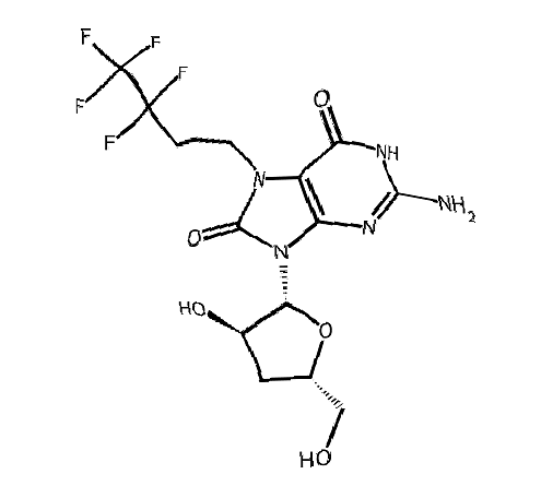 Nc1nc2c(c(=O)[nH]1)n(CCC(F)(F)C(F)(F)F)c(=O)n2[C@@H]1O[C@H](CO)C[C@H]1O